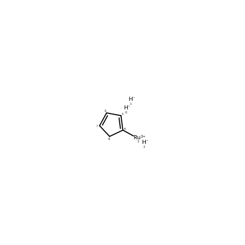 [H-].[H-].[H-].[Ru+3][C]1=CC=CC1